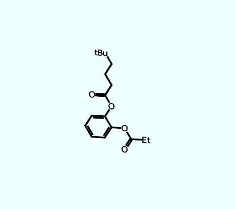 CCC(=O)Oc1ccccc1OC(=O)CCCC(C)(C)C